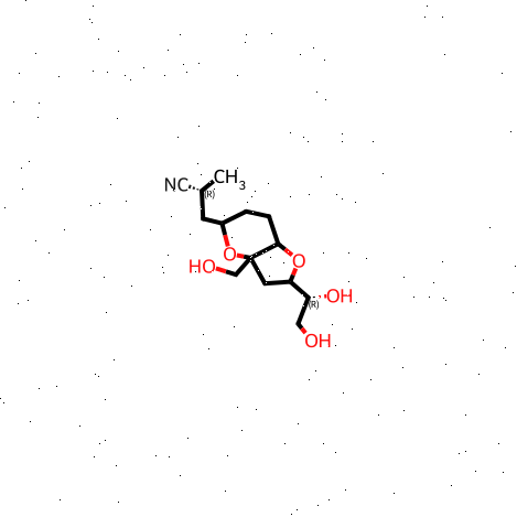 C[C@@H](C#N)CC1CCC2OC([C@H](O)CO)CC2(CO)O1